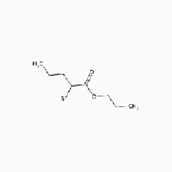 CCCOC(=O)C(Br)CCC